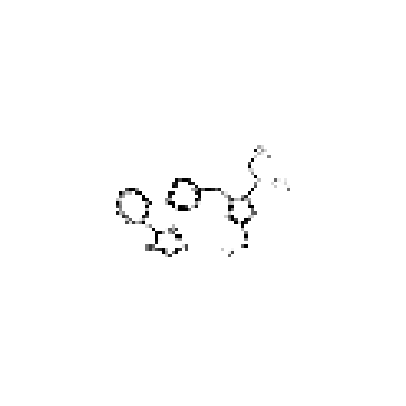 CCc1nc(C(C)CC)n(Cc2ccc(-c3ccccc3-c3nnn[nH]3)cc2)n1